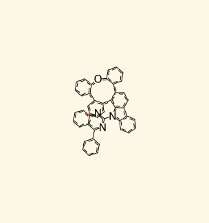 c1ccc(-c2nc(-n3c4ccccc4c4ccc5c6ccccc6oc6ccccc6c6ccccc6c5c43)nc3ccccc23)cc1